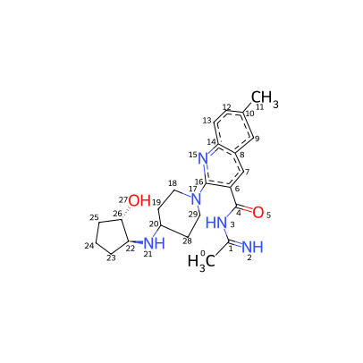 CC(=N)NC(=O)c1cc2cc(C)ccc2nc1N1CCC(N[C@H]2CCC[C@@H]2O)CC1